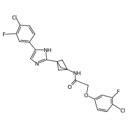 O=C(COc1ccc(Cl)c(F)c1)NC12CC(c3ncc(-c4ccc(Cl)c(F)c4)[nH]3)(C1)C2